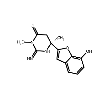 CN1C(=N)N[C@](C)(c2cc3cccc(O)c3o2)CC1=O